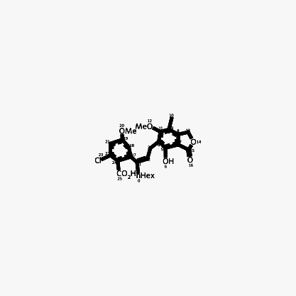 CCCCCC/C(=C/Cc1c(O)c2c(c(C)c1OC)COC2=O)c1cc(OC)cc(Cl)c1C(=O)O